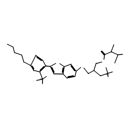 CCCCCc1ccc(-c2cc3ccc(SCC(COC(=O)C(C)C(C)C)CC(F)(F)F)cc3o2)c(C(F)(F)F)c1